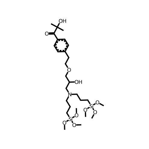 CO[Si](CCCN(CCC[Si](OC)(OC)OC)CC(O)COCCc1ccc(C(=O)C(C)(C)O)cc1)(OC)OC